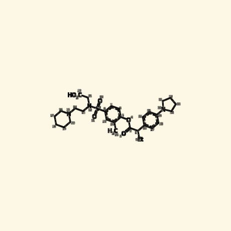 CCC(C(=O)Oc1ccc(S(=O)(=O)N(CCN2CCCCC2)CC(=O)O)cc1C)c1ccc(N2CCCC2)cc1